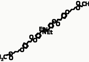 C=CC(=O)OCCCCOc1ccc(/C=C/C(=O)Oc2ccc(/C(CC)=N/N=C(\CC)c3ccc(OC(=O)/C=C/c4ccc(OCCCCOC(=O)C=C)cc4)cc3)cc2)cc1